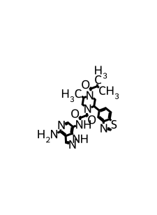 CC(C)C(=O)N1CC(c2ccc3scnc3c2)N(C(=O)C(=O)Nc2cnc(N)c3cn[nH]c23)CC1C